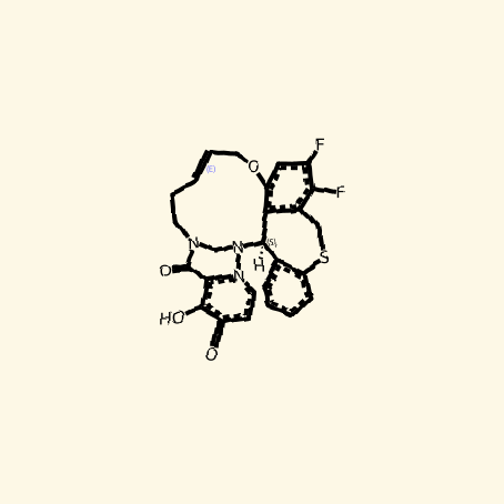 O=C1c2c(O)c(=O)ccn2N2CN1CC/C=C/COc1cc(F)c(F)c3c1[C@H]2c1ccccc1SC3